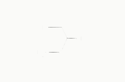 CC(CO)OP